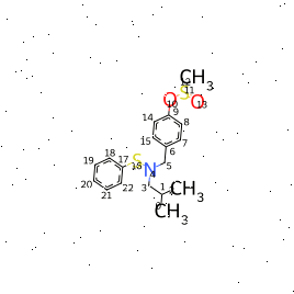 CC(C)CN(Cc1ccc(OS(C)=O)cc1)Sc1ccccc1